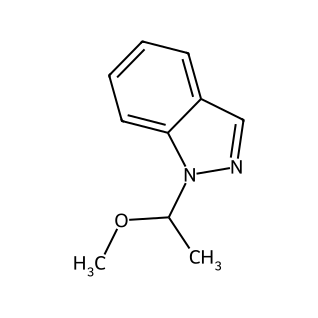 COC(C)n1ncc2ccccc21